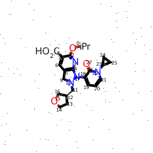 CC(C)Oc1nc2c(cc1C(=O)O)CN(C[C@H]1CCOC1)N2c1cccn(C2CC2)c1=O